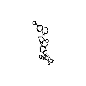 Cc1cc(S(=O)(=O)Nc2nccs2)ccc1N1CC[C@@H](N2CCCc3cc(Cl)ccc32)C1=O